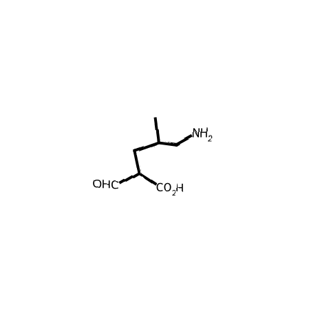 CC(CN)CC(C=O)C(=O)O